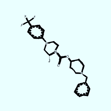 C[C@@H]1CN(c2ccc(C(F)(F)F)cc2)CCN1C(=O)OC1CCN(Cc2ccccc2)CC1